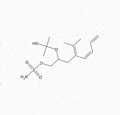 C=C/C=C\C(CC(COS(N)(=O)=O)OC(C)(C)O)=C(C)C